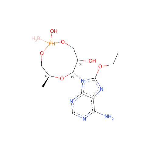 B[PH]1(O)OC[C@H](C)O[C@@H](n2c(OCC)nc3c(N)ncnc32)[C@@H](O)CO1